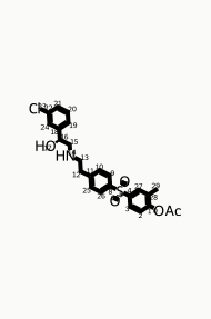 CC(=O)Oc1ccc(S(=O)(=O)c2ccc(CCNC[C@@H](O)c3cccc(Cl)c3)cc2)cc1C